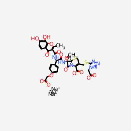 CO[C@@]1(NC(=O)C(NC(=O)c2c(C)oc3c(O)c(O)ccc3c2=O)c2ccc(OCC(=O)[O-])cc2)C(=O)N2C(C(=O)[O-])=C(CSc3nnnn3CC(=O)[O-])CS[C@H]21.[Na+].[Na+].[Na+]